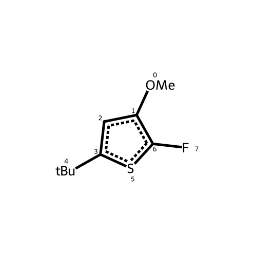 COc1cc(C(C)(C)C)sc1F